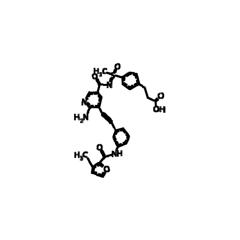 Cc1ccoc1C(=O)Nc1cccc(C#Cc2cc(C(=O)N=S(C)(=O)c3ccc(CCC(=O)O)cc3)cnc2N)c1